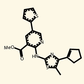 COC(=O)c1cc(-c2cccs2)cnc1Nc1nc(C2=CCCC2)c(C)s1